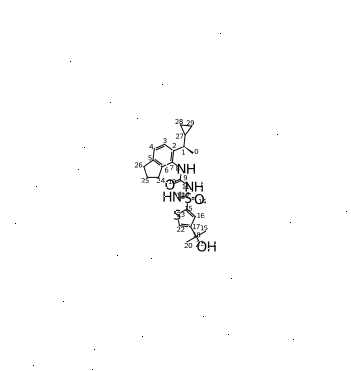 C[C@@H](c1ccc2c(c1NC(=O)NS(=N)(=O)c1cc(C(C)(C)O)cs1)CCC2)C1CC1